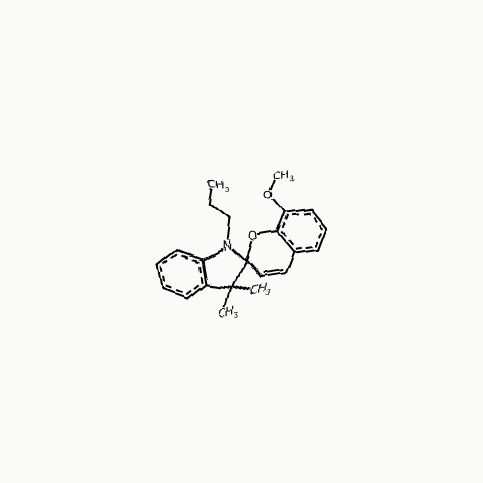 CCCN1c2ccccc2C(C)(C)C12C=Cc1cccc(OC)c1O2